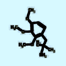 COc1ccc(CC(C)(C)N)c(OC)c1OC